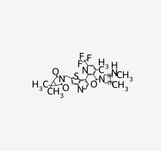 CN[C@@H]1CN(C(=O)c2c(C)cc(C(F)(F)F)nc2-c2ccnc3cc(CN4C(=O)C5C(C4=O)C5(C)C)sc23)C[C@@H]1C